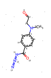 CN(CC=O)c1ccc(C(=O)N=[N+]=[N-])cc1